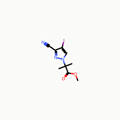 COC(=O)C(C)(C)n1cc(I)c(C#N)n1